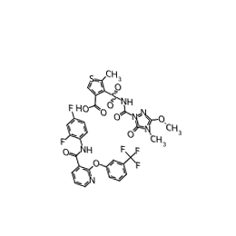 COc1nn(C(=O)NS(=O)(=O)c2c(C(=O)O)csc2C)c(=O)n1C.O=C(Nc1ccc(F)cc1F)c1cccnc1Oc1cccc(C(F)(F)F)c1